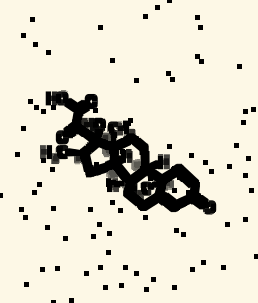 C[C@@H]1C[C@H]2[C@@H]3CCC4=CC(=O)C=C[C@]4(C)[C@H]3CC[C@]2(C)[C@@]1(O)C(=O)C(=O)O